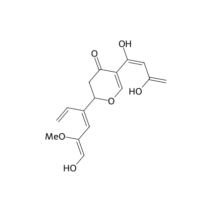 C=C/C(=C\C(=C\O)OC)C1CC(=O)C(/C(O)=C\C(=C)O)=CO1